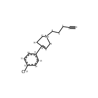 C#CCCCN1CC=C(c2ccc(Cl)cc2)CC1